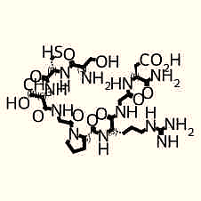 C[C@@H](O)[C@H](NC(=O)[C@H](CS)NC(=O)[C@@H](N)CO)C(=O)NCC(=O)N1CCC[C@H]1C(=O)N[C@@H](CCCNC(=N)N)C(=O)NCC(=O)N[C@@H](CC(=O)O)C(N)=O